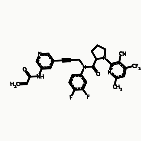 C=CC(=O)Nc1cncc(C#CCN(C(=O)C2CCCN2c2nc(C)cc(C(F)(F)F)c2C#N)c2ccc(F)c(F)c2)c1